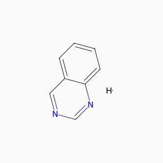 [H].c1ccc2ncncc2c1